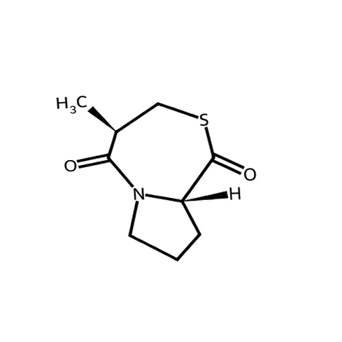 C[C@H]1CSC(=O)[C@@H]2CCCN2C1=O